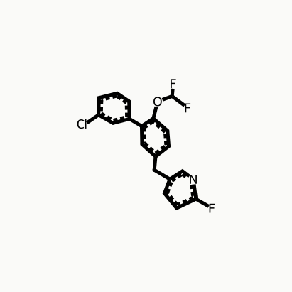 Fc1ccc(Cc2ccc(OC(F)F)c(-c3cccc(Cl)c3)c2)cn1